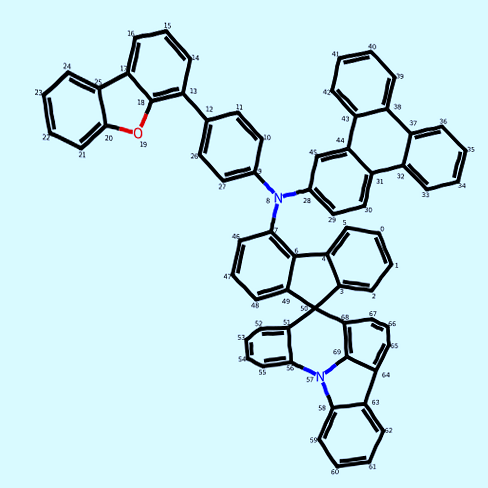 c1ccc2c(c1)-c1c(N(c3ccc(-c4cccc5c4oc4ccccc45)cc3)c3ccc4c5ccccc5c5ccccc5c4c3)cccc1C21c2ccccc2-n2c3ccccc3c3cccc1c32